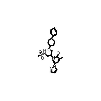 Cc1cc(-n2cccn2)cn(C(CNS(C)(=O)=O)COC2CCC(c3ccccc3)CC2)c1=O